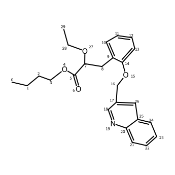 CCCCOC(=O)C(Cc1ccccc1OCc1cnc2ccccc2c1)OCC